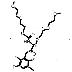 COCCOCCOC(=O)N[C@@H](CSCCOCCOC)C(=O)Cc1c(F)c(C)cc(F)c1F